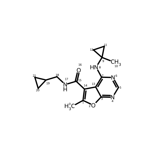 Cc1oc2ncnc(NC3(C)CC3)c2c1C(=O)NCC1CC1